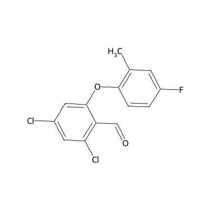 Cc1cc(F)ccc1Oc1cc(Cl)cc(Cl)c1C=O